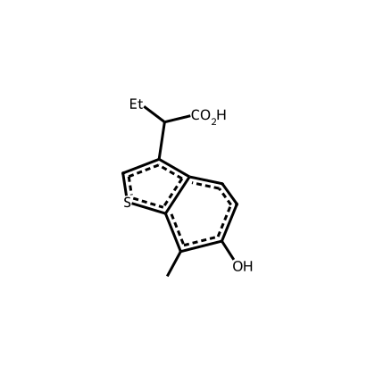 CCC(C(=O)O)c1csc2c(C)c(O)ccc12